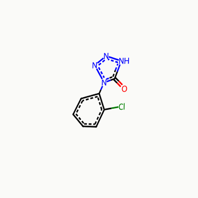 O=c1[nH]nnn1-c1ccccc1Cl